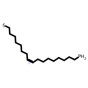 PCCCCCCCC/C=C\CCCCCCC[S]